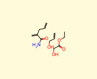 C=CCC(=C)C(N)=O.C=CCO.CCOC(=O)CO